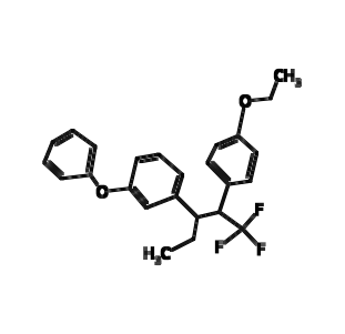 CCOc1ccc(C(C(CC)c2cccc(Oc3ccccc3)c2)C(F)(F)F)cc1